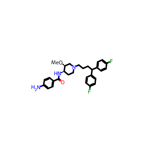 CO[C@H]1CN(CCCC(c2ccc(F)cc2)c2ccc(F)cc2)CC[C@H]1NC(=O)c1ccc(N)cc1